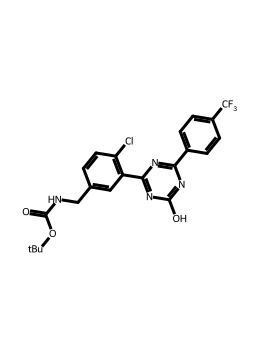 CC(C)(C)OC(=O)NCc1ccc(Cl)c(-c2nc(O)nc(-c3ccc(C(F)(F)F)cc3)n2)c1